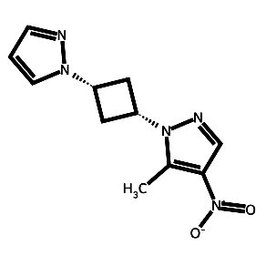 Cc1c([N+](=O)[O-])cnn1[C@H]1C[C@@H](n2cccn2)C1